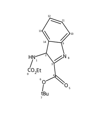 CCOC(=O)NC1C(C(=O)OC(C)(C)C)=Nc2ccccc21